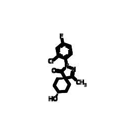 CC1=NN(c2ccc(F)cc2Cl)C(=O)[C@]12CC[C@@H](O)CC2